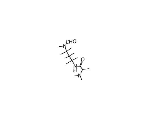 CC(C(=O)NC(C)(C)C(C)(C)C(C)(C)N(C)C=O)N(C)C